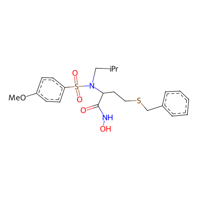 COc1ccc(S(=O)(=O)N(CC(C)C)C(CCSCc2ccccc2)C(=O)NO)cc1